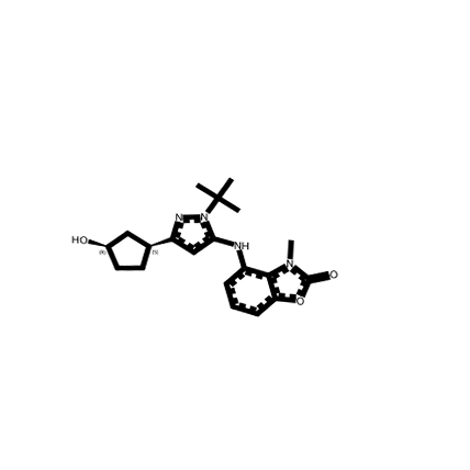 Cn1c(=O)oc2cccc(Nc3cc([C@H]4CC[C@@H](O)C4)nn3C(C)(C)C)c21